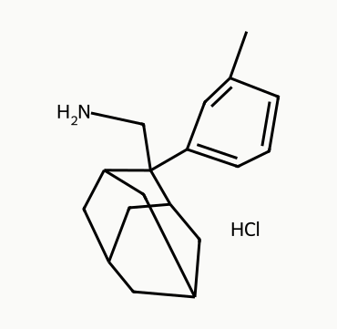 Cc1cccc(C2(CN)C3CC4CC(C3)CC2C4)c1.Cl